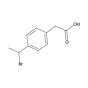 CC(Br)c1ccc(CC(=O)O)cc1